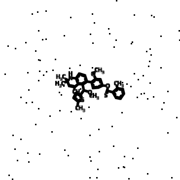 COc1cc(OC(=S)c2ccccc2C)ccc1-c1ccc2c(c1C(OC)c1ccc(C)s1)C(C)=CC(C)(C)N2